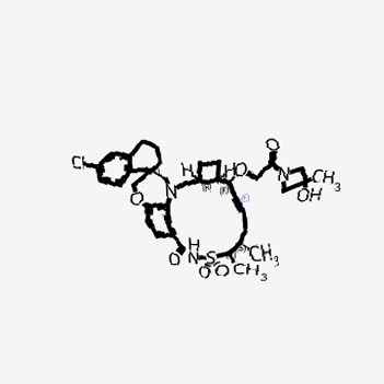 C[C@@H]1[C@@H](C)C/C=C/[C@H](OCC(=O)N2CC(C)(O)C2)[C@@H]2CC[C@H]2CN2C[C@@]3(CCCc4cc(Cl)ccc43)COc3ccc(cc32)C(=O)NS1(=O)=O